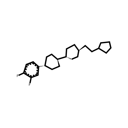 Fc1ccc([C@H]2CC[C@H]([C@H]3CC[C@H](CCC4CCCC4)CC3)CC2)cc1F